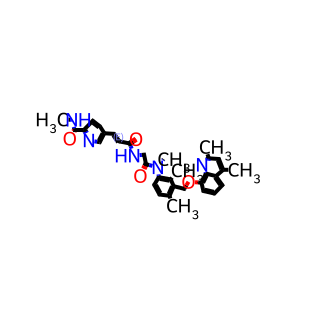 CNC(=O)c1ccc(/C=C/C(=O)NCC(=O)N(C)c2ccc(C)c(COc3cccc4c(C)cc(C)nc34)c2C)cn1